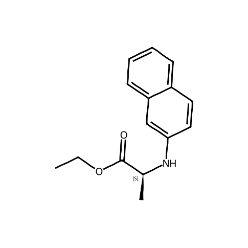 CCOC(=O)[C@H](C)Nc1ccc2ccccc2c1